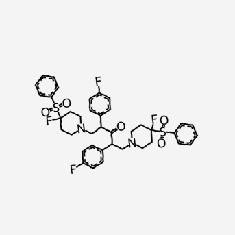 O=C(C(CN1CCC(F)(S(=O)(=O)c2ccccc2)CC1)c1ccc(F)cc1)C(CN1CCC(F)(S(=O)(=O)c2ccccc2)CC1)c1ccc(F)cc1